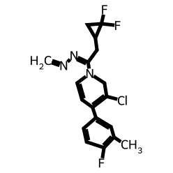 C=N/N=C(/CC1CC1(F)F)N1C=CC(c2ccc(F)c(C)c2)=C(Cl)C1